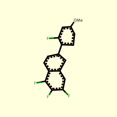 COc1ccc(-c2ccc3c(F)c(F)c(F)cc3c2)c(F)c1